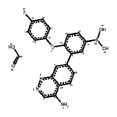 Nc1cnnc2cc(-c3cc(B(O)O)ccc3Oc3ccc(F)cc3)ccc12.O=CO